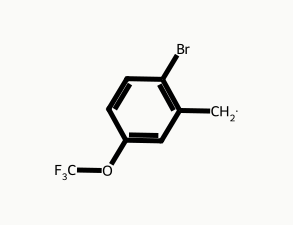 [CH2]c1cc(OC(F)(F)F)ccc1Br